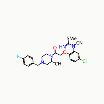 CSC(=N)N(C#N)c1cc(Cl)ccc1OCC(=O)N1CCN(Cc2ccc(F)cc2)CC1C